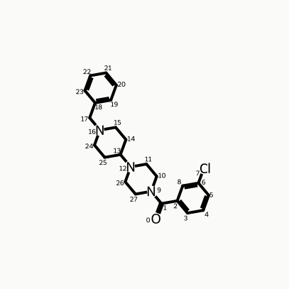 O=C(c1cccc(Cl)c1)N1CCN(C2CCN(Cc3ccccc3)CC2)CC1